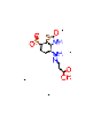 O=C(O)CC=NNC1=CCC(=S(=O)=O)c2sc(=O)[nH]c21